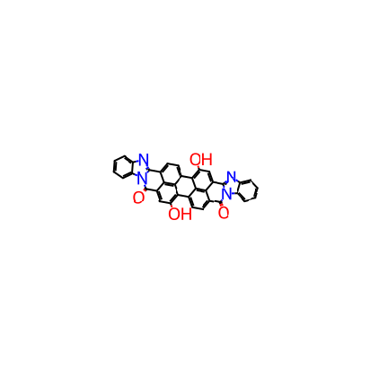 O=c1c2cc(O)c3c4ccc5c(=O)n6c7ccccc7nc6c6cc(O)c(c7ccc(c2c73)c2nc3ccccc3n12)c4c56